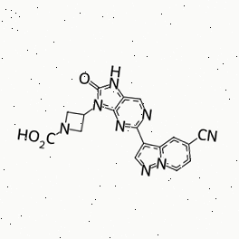 N#Cc1ccn2ncc(-c3ncc4[nH]c(=O)n(C5CN(C(=O)O)C5)c4n3)c2c1